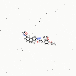 COc1ccc(C=CC(=O)Nc2ccc(-c3cc(-c4ncco4)ccc3C)cc2)cc1OC